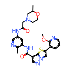 COc1ncccc1-c1cn2ncc(C(=O)Nc3cc(NC(=O)CN4CCOC(C)C4)cnc3C)c2s1